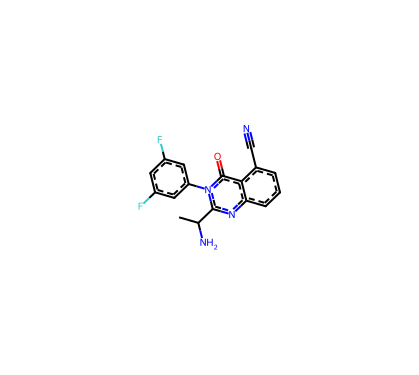 CC(N)c1nc2cccc(C#N)c2c(=O)n1-c1cc(F)cc(F)c1